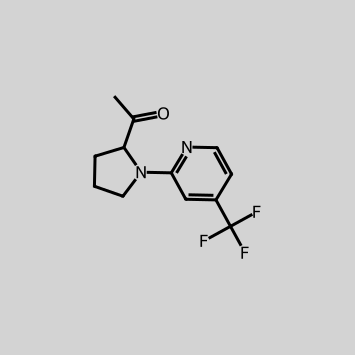 CC(=O)C1CCCN1c1cc(C(F)(F)F)ccn1